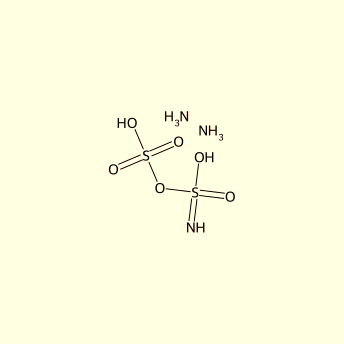 N.N.N=S(=O)(O)OS(=O)(=O)O